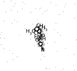 CC1(C)CCC(C)(C)c2cc(C(=O)NNC(=O)c3ccc(C#N)cc3)ccc21